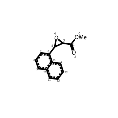 COC(=O)C1OC1c1cccc2ccccc12